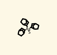 S=[As](C1CC2CCC1C2)(C1CC2CCC1C2)C1CC2CCC1C2